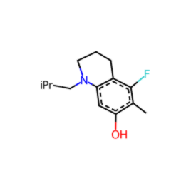 Cc1c(O)cc2c(c1F)CCCN2CC(C)C